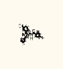 O=C(Nc1nc2ccc(Cl)cc2c2nc(-c3ccco3)nn12)c1ccc(I)cc1